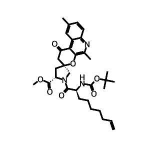 C=CCCCCC[C@H](NC(=O)OC(C)(C)C)C(=O)N1C[C@@]2(CC(=O)c3c(c(C)nc4ccc(C)cc34)O2)C[C@H]1C(=O)OC